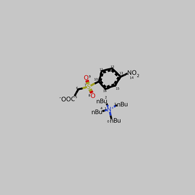 CCCC[N+](CCCC)(CCCC)CCCC.O=C([O-])CS(=O)(=O)c1ccc([N+](=O)[O-])cc1